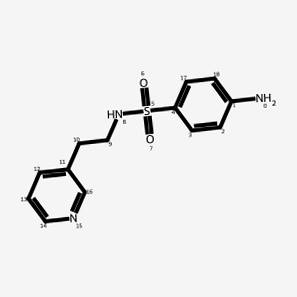 Nc1ccc(S(=O)(=O)NCCc2cccnc2)cc1